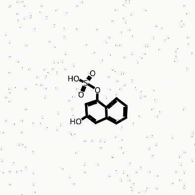 O=S(=O)(O)Oc1cc(O)cc2ccccc12